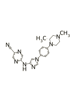 C[C@@H]1CN(C)CCN1c1ccc(-n2cnc(Nc3cnc(C#N)cn3)c2)cc1